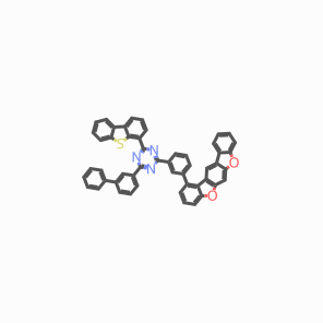 c1ccc(-c2cccc(-c3nc(-c4cccc(-c5cccc6oc7cc8oc9ccccc9c8cc7c56)c4)nc(-c4cccc5c4sc4ccccc45)n3)c2)cc1